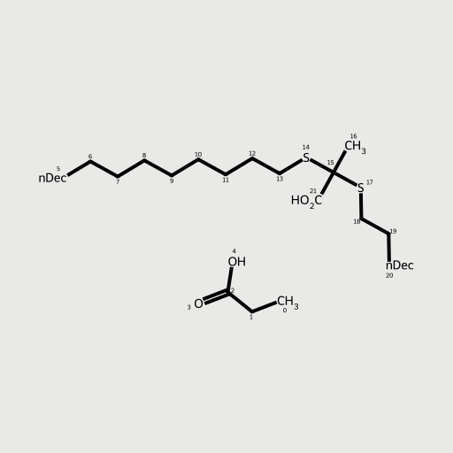 CCC(=O)O.CCCCCCCCCCCCCCCCCCSC(C)(SCCCCCCCCCCCC)C(=O)O